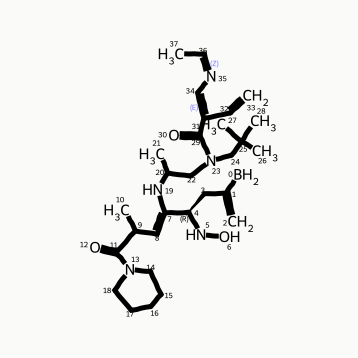 BC(=C)C[C@@H](NO)C(=CC(C)C(=O)N1CCCCC1)NC(C)CN(CC(C)(C)C)C(=O)/C(C=C)=C/N=C\C